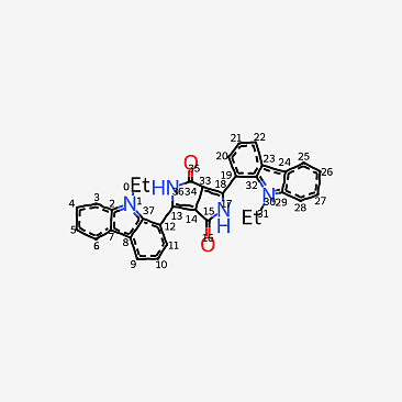 CCn1c2ccccc2c2cccc(C3=C4C(=O)NC(c5cccc6c7ccccc7n(CC)c56)=C4C(=O)N3)c21